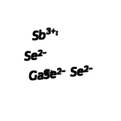 [Ga+3].[Sb+3].[Se-2].[Se-2].[Se-2]